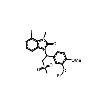 CCOc1cc(C(CS(C)(=O)=O)n2c(=O)n(C)c3c(I)cccc32)ccc1OC